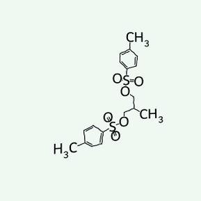 Cc1ccc(S(=O)(=O)OCC(C)COS(=O)(=O)c2ccc(C)cc2)cc1